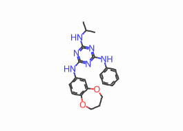 CC(C)Nc1nc(Nc2ccccc2)nc(Nc2ccc3c(c2)OCCCO3)n1